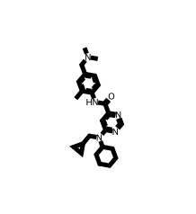 Cc1cc(CN(C)C)ccc1NC(=O)c1cc(N(CC2CC2)C2CCCCC2)ncn1